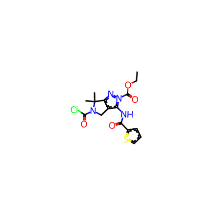 CCOC(=O)n1nc2c(c1NC(=O)c1cccs1)CN(C(=O)Cl)C2(C)C